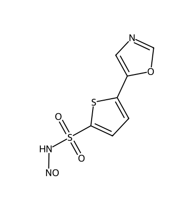 O=NNS(=O)(=O)c1ccc(-c2cnco2)s1